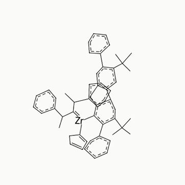 CC([C](C(C)c1ccccc1)=[Zr]([C]1=CC=CC1)[c]1c2c(cc(C(C)(C)C)c1-c1ccccc1)-c1cc(C(C)(C)C)c(-c3ccccc3)cc1C2)c1ccccc1